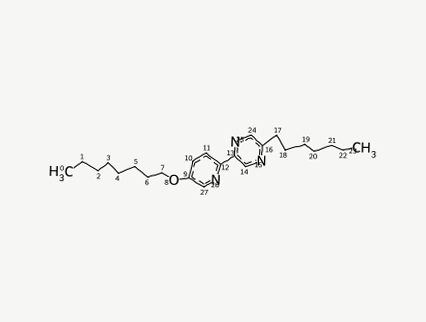 CCCCCCCCOc1ccc(-c2cnc(CCCCCCC)cn2)nc1